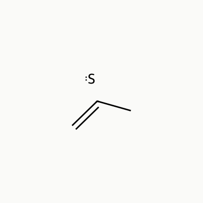 C=CC.[S]